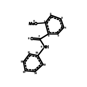 COc1ccccc1C(=O)Nc1c[c]ccc1